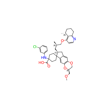 COC[C@@H]1COc2cc3c(cc2O1)C1(CCC(Nc2cccc(Cl)c2)(C(=O)O)CC1)[C@@H](C[C@@H](C)COc1ccnc2c1[C@H](C)CCC2)C3